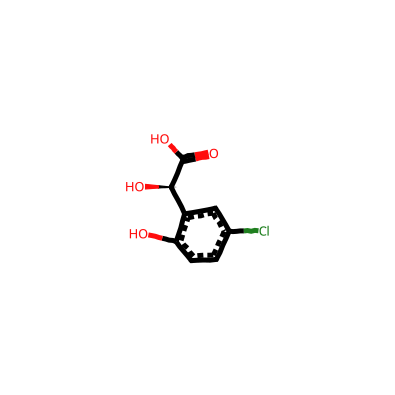 O=C(O)[C@H](O)c1cc(Cl)ccc1O